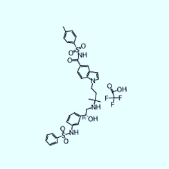 Cc1ccc(S(=O)(=O)NC(=O)c2ccc3c(ccn3CCC(C)(C)NC[C@H](O)c3cccc(NS(=O)(=O)c4ccccc4)c3)c2)cc1.O=C(O)C(F)(F)F